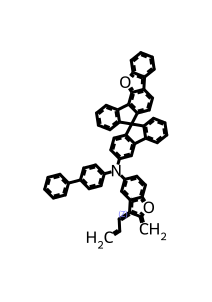 C=C/C=c1\c(=C)oc2ccc(N(c3ccc(-c4ccccc4)cc3)c3ccc4c(c3)-c3ccccc3C43c4ccccc4-c4c3ccc3c4oc4ccccc43)cc12